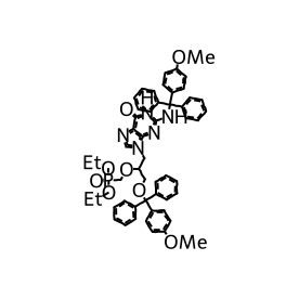 CCOP(=O)(COC(COC(c1ccccc1)(c1ccccc1)c1ccc(OC)cc1)Cn1cnc2c(=O)[nH]c(NC(c3ccccc3)(c3ccccc3)c3ccc(OC)cc3)nc21)OCC